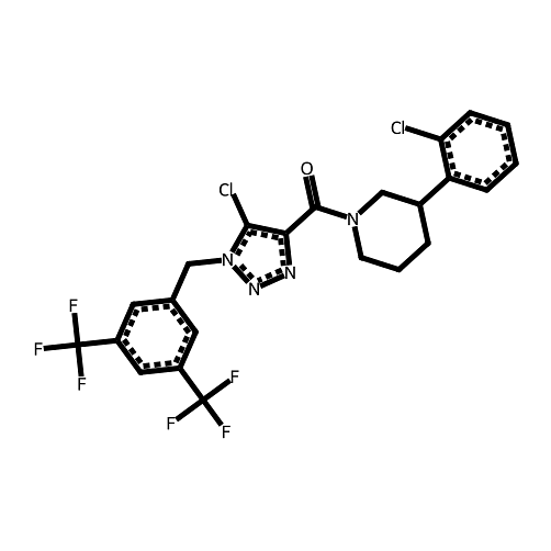 O=C(c1nnn(Cc2cc(C(F)(F)F)cc(C(F)(F)F)c2)c1Cl)N1CCCC(c2ccccc2Cl)C1